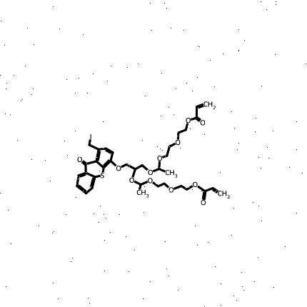 C=CC(=O)OCCOCCOC(C)OCC(COc1ccc(CI)c2c(=O)c3ccccc3sc12)OC(C)OCCOCCOC(=O)C=C